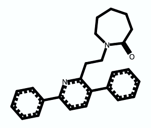 O=C1CCCCCN1CCc1nc(-c2ccccc2)ccc1-c1ccccc1